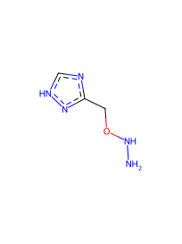 NNOCc1nc[nH]n1